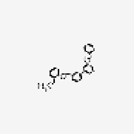 CCc1ccccc1OCc1cccc(-c2cccc(OCc3ccccc3)c2)c1